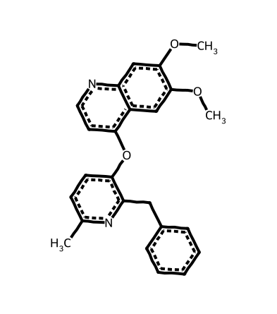 COc1cc2nccc(Oc3ccc(C)nc3Cc3ccccc3)c2cc1OC